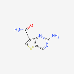 NC(=O)c1csc2cnc(N)nc12